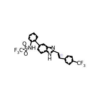 O=S(=O)(Nc1ccccc1-c1ccc2[nH]c(/C=C/c3ccc(C(F)(F)F)cc3)nc2c1)C(F)(F)F